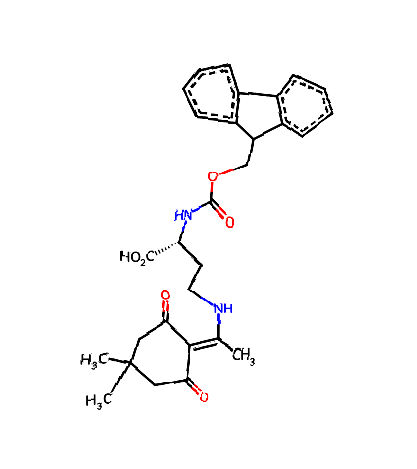 CC(NCC[C@@H](NC(=O)OCC1c2ccccc2-c2ccccc21)C(=O)O)=C1C(=O)CC(C)(C)CC1=O